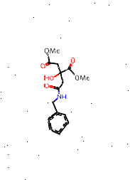 COC(=O)CC(O)(CC(=O)NCc1ccccc1)C(=O)OC